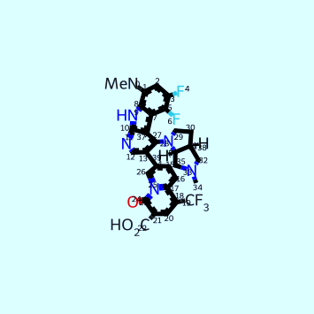 CNc1cc(F)c(F)c2c1[nH]c1ncc(-c3ccc4c(C(F)(F)F)cc(C(=O)O)c(=O)n4c3)c(N3CC[C@@H]4CN(C)C[C@@H]43)c12